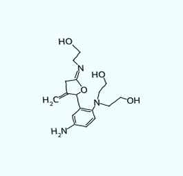 C=C1CC(=NCCO)OC1c1cc(N)ccc1N(CCO)CCO